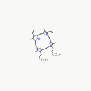 C=CC1=C(C)C2=Cc3[nH]c(c(CCC(=O)O)c3C)C=C3N=C(C=c4[nH]c(c(C)c4C=C)=CC1N2)C(C)=C3CCC(=O)O